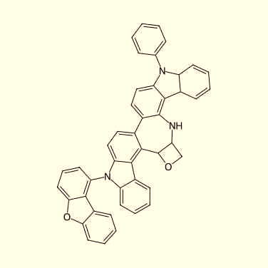 C1=CC2c3c(ccc4c3NC3COC3c3c-4ccc4c3c3ccccc3n4-c3cccc4oc5ccccc5c34)N(c3ccccc3)C2C=C1